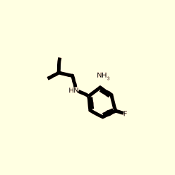 CC(C)CNc1ccc(F)cc1.N